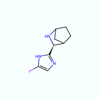 Ic1cnc([C@H]2NC3CCC2C3)[nH]1